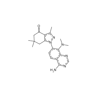 Cc1nn(-c2ccc3c(N)ncnc3c2N(C)C)c2c1C(=O)CC(C)(C)C2